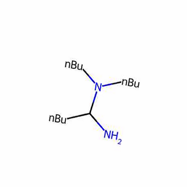 CCCCC(N)N(CCCC)CCCC